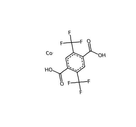 O=C(O)c1cc(C(F)(F)F)c(C(=O)O)cc1C(F)(F)F.[Co]